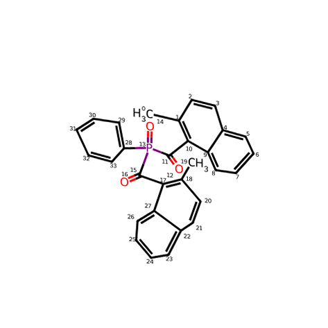 Cc1ccc2ccccc2c1C(=O)P(=O)(C(=O)c1c(C)ccc2ccccc12)c1ccccc1